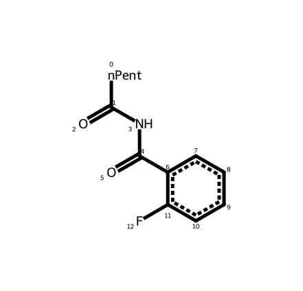 CCCCCC(=O)NC(=O)c1ccccc1F